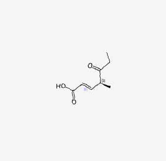 CCC(=O)[C@@H](C)/C=C/C(=O)O